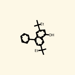 CCC(C)(C)c1cc(-c2ccccc2)c2cc(C(C)(C)CC)cc(O)c2c1